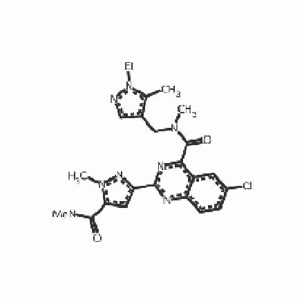 CCn1ncc(CN(C)C(=O)c2nc(-c3cc(C(=O)NC)n(C)n3)nc3ccc(Cl)cc23)c1C